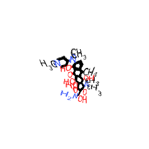 CC1c2ccc(N(C)C3CCN(C)CC3)c(O)c2C(=O)C2=C(O)C3(O)C(=O)C(C(N)=O)=C(O)C(N(C)C)C3C(O)C21